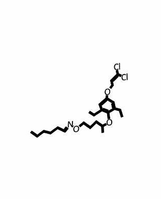 CCCCCC=NOCCCC(C)Oc1c(CC)cc(OCC=C(Cl)Cl)cc1CC